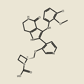 COc1c(Cl)cccc1Nc1c(-c2ccncc2OC[C@H]2CCN2C(=O)O)[nH]c2c1C(=O)NCC2